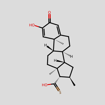 C[C@@H]1C[C@H]2[C@@H]3CCC4=CC(=O)C(O)=C[C@]4(C)[C@H]3CC[C@]2(C)[C@H]1C(O)=S